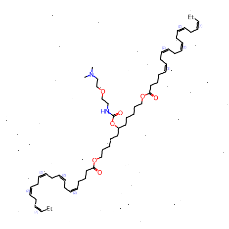 CC/C=C\C/C=C\C/C=C\C/C=C\C/C=C\CCCC(=O)OCCCCCC(CCCCCOC(=O)CCC/C=C\C/C=C\C/C=C\C/C=C\C/C=C\CC)OC(=O)NCCOCCN(C)C